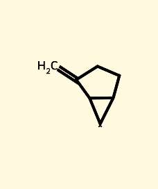 C=C1CCC2[C]C12